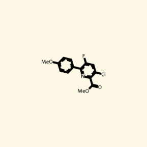 COC(=O)c1nc(-c2ccc(OC)cc2)c(F)cc1Cl